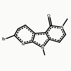 Cn1ccc2c(c1=O)c1ccc(Br)nc1n2C